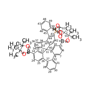 CC1(C)OB(c2ccc3c(c2)C2(c4cc(B5OC(C)(C)C(C)(C)O5)ccc4-c4ccccc4-3)c3ccccc3-c3c2ccc2c3-c3ccccc3S2(=O)=O)OC1(C)C